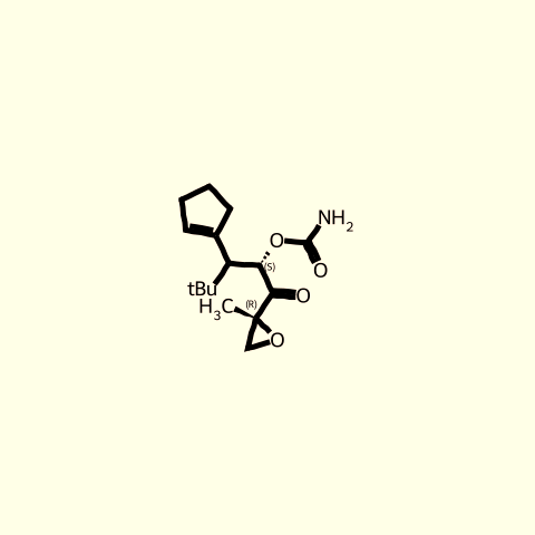 CC(C)(C)C(C1=CCCC1)[C@H](OC(N)=O)C(=O)[C@@]1(C)CO1